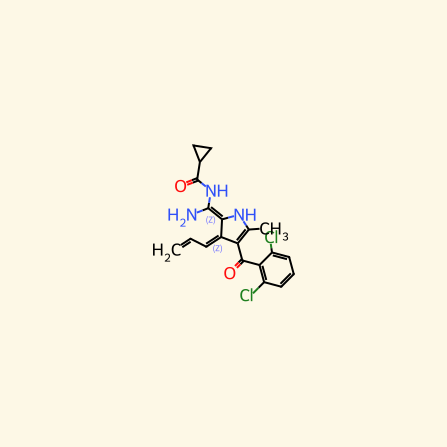 C=C/C=c1/c(C(=O)c2c(Cl)cccc2Cl)c(C)[nH]/c1=C(/N)NC(=O)C1CC1